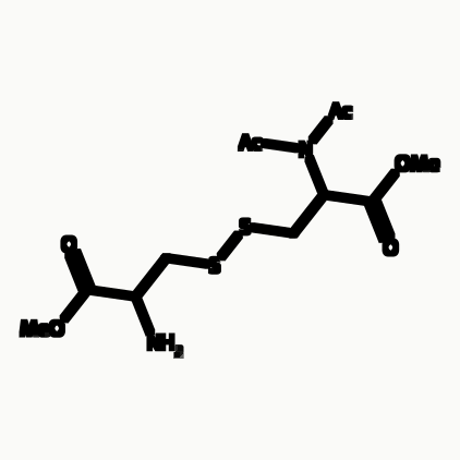 COC(=O)C(N)CSSCC(C(=O)OC)N(C(C)=O)C(C)=O